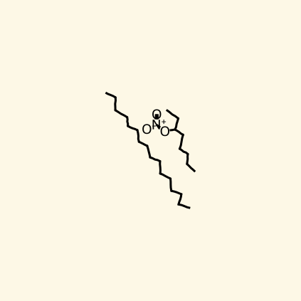 CCCCCC(CC)O[N+](=O)[O-].CCCCCCCCCCCCCCCC